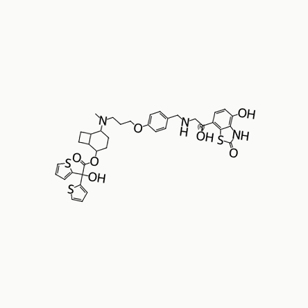 CN(CCCOc1ccc(CNC[C@H](O)c2ccc(O)c3[nH]c(=O)sc23)cc1)C1CCC(OC(=O)C(O)(c2cccs2)c2cccs2)C2CCC21